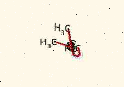 CCCCC/C=C\C/C=C\C/C=C\CCCCC(=O)OC[C@H](COC(=O)CCCCCCCCCCCCC)OC(=O)CCCCCCCCCCCCC